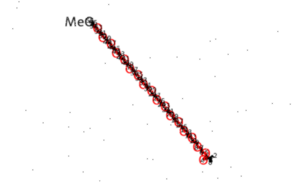 C=C(C)C(=O)OCCOCCOCCOCCOCCOCCOCCOCCOCCOCCOCCOCCOCCOCCOCCOCCOCCOC